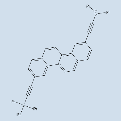 CC(C)[SiH](C#Cc1ccc2ccc3c4cc(C#C[Si](C(C)C)(C(C)C)C(C)C)ccc4ccc3c2c1)C(C)C